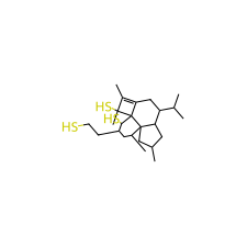 CC1=C2CC(C(C)C)C3CC(C)CC34C(C)CC(CCS)C(S)C24C1(C)S